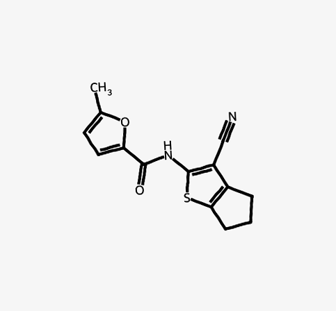 Cc1ccc(C(=O)Nc2sc3c(c2C#N)CCC3)o1